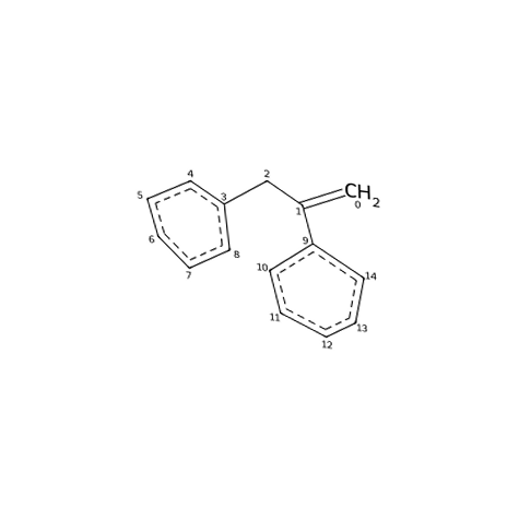 C=C(Cc1ccccc1)c1ccccc1